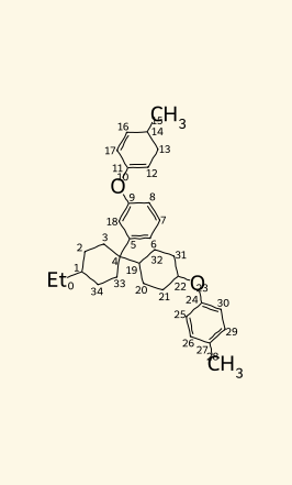 CCC1CCC(c2cccc(OC3=CCC(C)C=C3)c2)(C2CCC(Oc3ccc(C)cc3)CC2)CC1